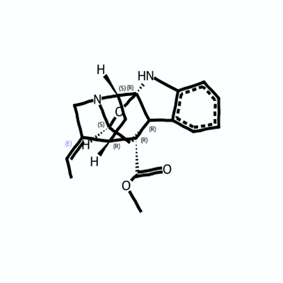 C/C=C1/CN2[C@@H]3C[C@@]45c6ccccc6N[C@]4(O3)[C@@H]2C[C@@H]1[C@H]5C(=O)OC